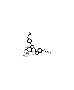 CS(=O)(=O)CC(=O)Nc1c(-c2ccc(OC3CC3)cc2)nn2c1C(=O)N[C@]1(CCc3cc(OCC(F)(F)F)ccc31)C2